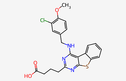 COc1ccc(CNc2nc(CCCC(=O)O)nc3sc4ccccc4c23)cc1Cl